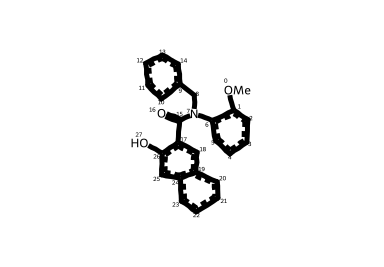 COc1ccccc1N(Cc1ccccc1)C(=O)c1cc2ccccc2cc1O